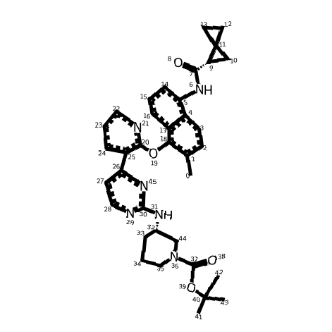 Cc1ccc2c(NC(=O)[C@H]3CC34CC4)cccc2c1Oc1ncccc1-c1ccnc(N[C@H]2CCCN(C(=O)OC(C)(C)C)C2)n1